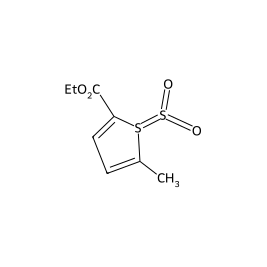 CCOC(=O)C1=CC=C(C)S1=S(=O)=O